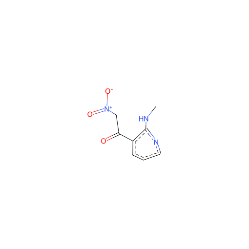 CNc1ncccc1C(=O)C[N+](=O)[O-]